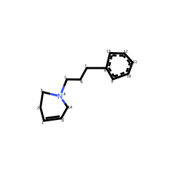 [C]1=CCCN(CCCc2ccccc2)C1